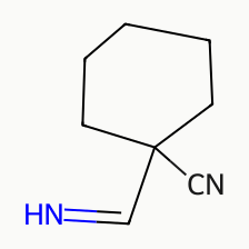 N#CC1(C=N)CCCCC1